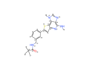 CNc1nc2cc(-c3cccc(CNC(=O)C(C)(C)C)c3)sc2c2c1ncn2C